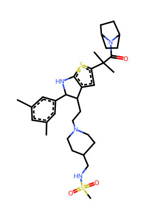 Cc1cc(C)cc(C2Nc3sc(C(C)(C)C(=O)N4C5CCC4CC5)cc3C2CCN2CCC(CNS(C)(=O)=O)CC2)c1